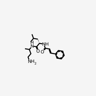 CC(C)C[C@H](NC(=O)/C=C/c1ccccc1)C(=O)NC(C)CCN